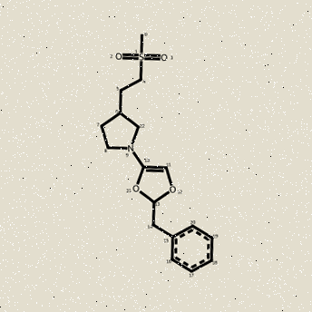 CS(=O)(=O)CCC1CCN(C2=COC(Cc3ccccc3)O2)C1